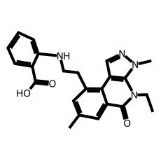 CCn1c(=O)c2cc(C)cc(CCNc3ccccc3C(=O)O)c2c2cnn(C)c21